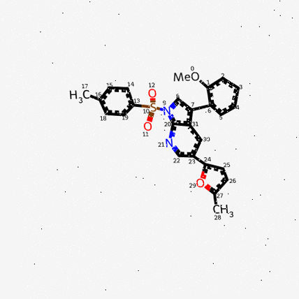 COc1ccccc1-c1cn(S(=O)(=O)c2ccc(C)cc2)c2ncc(-c3ccc(C)o3)cc12